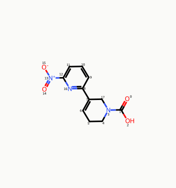 O=C(O)N1CCC=C(c2cccc([N+](=O)[O-])n2)C1